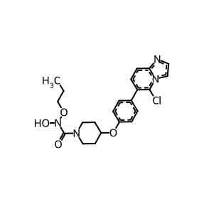 CCCON(O)C(=O)N1CCC(Oc2ccc(-c3ccc4nccn4c3Cl)cc2)CC1